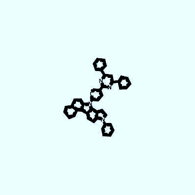 c1ccc(-c2cc(-c3ccccc3)nc(-c3ccc(-n4c5ccc6ccccc6c5c5ccc6c(ccn6-c6ccccc6)c54)cc3)n2)cc1